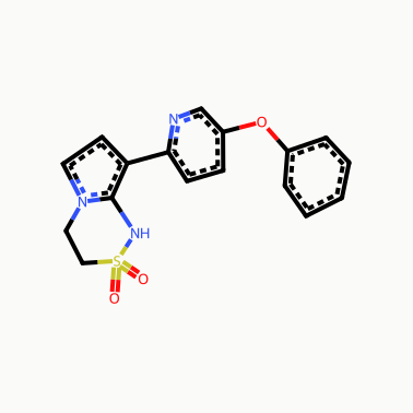 O=S1(=O)CCn2ccc(-c3ccc(Oc4ccccc4)cn3)c2N1